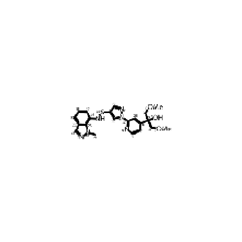 COCC(O)(COC)c1ccnc(-n2cc(SNc3cccc4cnn(C)c34)cn2)c1